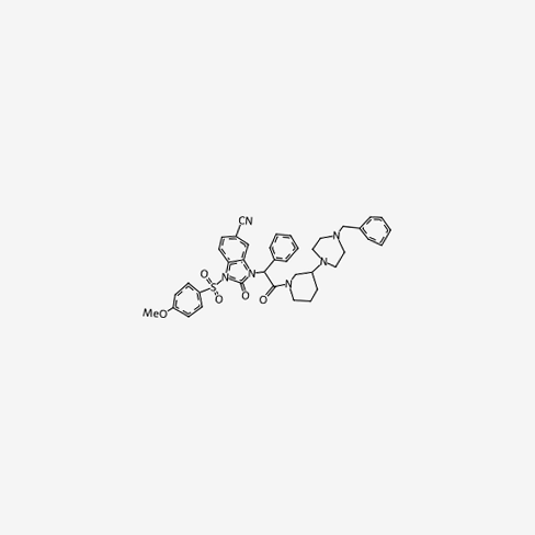 COc1ccc(S(=O)(=O)n2c(=O)n(C(C(=O)N3CCCC(N4CCN(Cc5ccccc5)CC4)C3)c3ccccc3)c3cc(C#N)ccc32)cc1